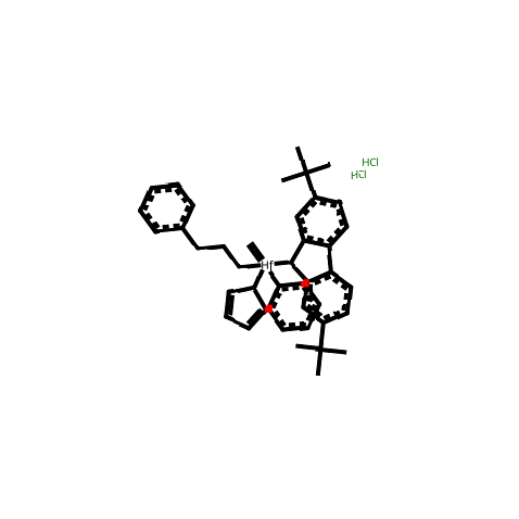 Cl.Cl.[CH2]=[Hf]([CH2]CCc1ccccc1)([c]1ccccc1)([CH]1C=CC=C1)[CH]1c2cc(C(C)(C)C)ccc2-c2ccc(C(C)(C)C)cc21